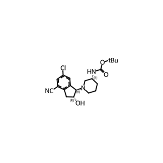 CC(C)(C)OC(=O)N[C@@H]1CCCN([C@@H]2c3cc(Cl)cc(C#N)c3C[C@H]2O)C1